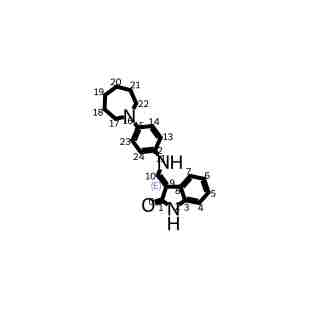 O=C1Nc2ccccc2/C1=C\Nc1ccc(N2CCCCCC2)cc1